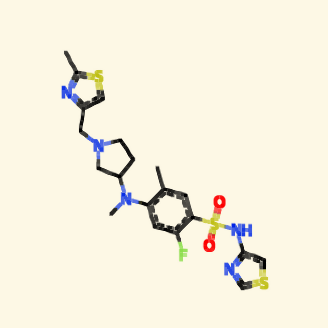 Cc1nc(CN2CCC(N(C)c3cc(F)c(S(=O)(=O)Nc4cscn4)cc3C)C2)cs1